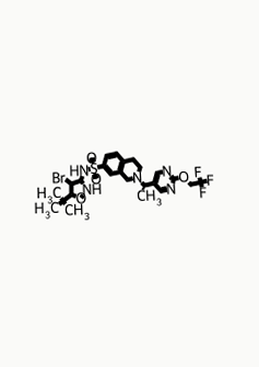 C[C@H](c1cnc(OCC(F)(F)F)nc1)N1CCc2ccc(S(=O)(=O)NC3NOC(C(C)(C)C)C3Br)cc2C1